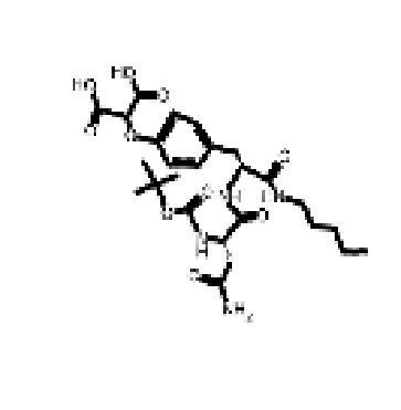 CCCCCNC(=O)[C@H](Cc1ccc(OC(C(=O)O)C(=O)O)cc1)NC(=O)[C@H](CC(N)=O)NC(=O)OC(C)(C)C